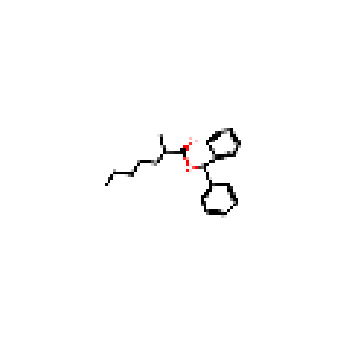 CCCCCC(C)C(=O)OC(c1ccccc1)c1ccccc1